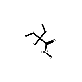 CCC(C)(CC)C(=O)NC